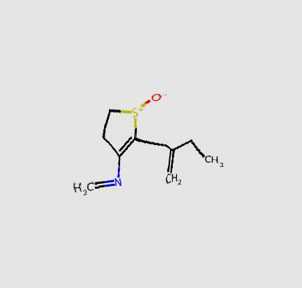 C=NC1=C(C(=C)CC)[S+]([O-])CC1